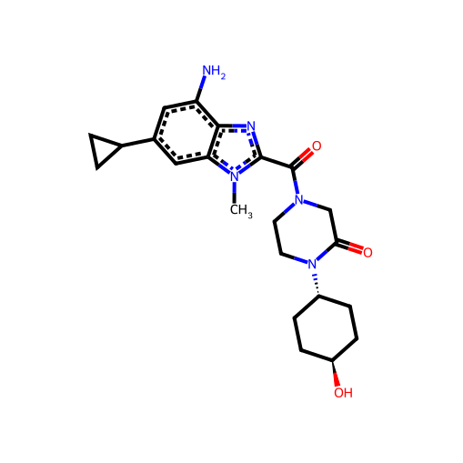 Cn1c(C(=O)N2CCN([C@H]3CC[C@H](O)CC3)C(=O)C2)nc2c(N)cc(C3CC3)cc21